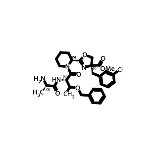 COC(=O)[C@@]1(Cc2cccc(Cl)c2)COC([C@@H]2CCCCN2C(=O)[C@@H](NC(=O)[C@H](C)N)C(C)OCc2ccccc2)=N1